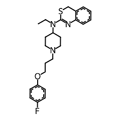 CCN(C1=Nc2ccccc2CS1)C1CCN(CCCOc2ccc(F)cc2)CC1